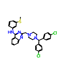 CSc1cccc(Nc2nc(CN3CCN(C(c4ccc(Cl)cc4)c4ccc(Cl)cc4)CC3)nc3ccccc23)c1